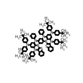 CC(C)(C)c1ccc(N(c2ccc(C(C)(C)C)cc2)c2cc3c4c(c2)N(c2ccc(C(C)(C)C)cc2)c2c(sc5ccccc25)B4c2cc4c(cc2N3c2ccccc2)N(c2ccccc2)c2cc(N(c3ccc(C(C)(C)C)cc3)c3ccc(C(C)(C)C)cc3)cc3c2B4c2sc4ccccc4c2N3c2ccc(C(C)(C)C)cc2)cc1